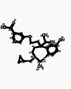 CC(C)C1(CCOc2cncc(C(=O)O)c2)CCN(CC2CC2)[C@@H](C)Cc2ccc(O)cc21